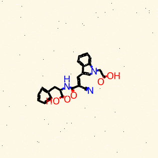 N#C/C(=C\c1cn(CC(=O)O)c2ccccc12)C(=O)NC(Cc1ccccc1)C(=O)O